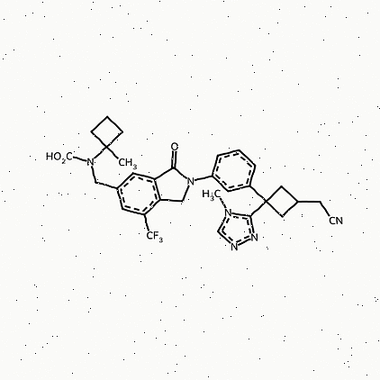 Cn1cnnc1C1(c2cccc(N3Cc4c(cc(CN(C(=O)O)C5(C)CCC5)cc4C(F)(F)F)C3=O)c2)CC(CC#N)C1